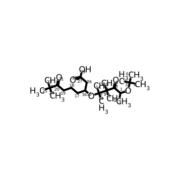 CC(OC(C)(C)C)C(=O)C(C)(C)C(C)(C)OC(CCCC(=O)C(C)(C)C)CC(=O)O